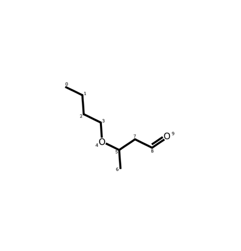 CCCCOC(C)CC=O